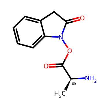 C[C@H](N)C(=O)ON1C(=O)Cc2ccccc21